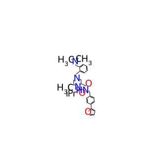 CC(C)C(=O)N1C(C)CN(Cc2ccccc2CN(C)C)CC1C(=O)NCc1ccc(-c2ccco2)cc1